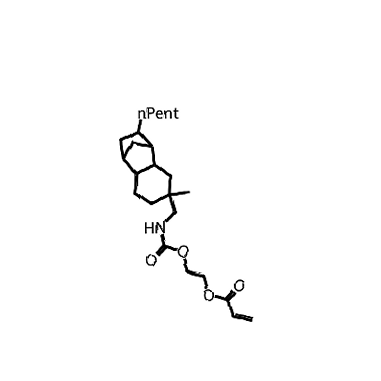 C=CC(=O)OCCOC(=O)NCC1(C)CCC2C3CC(CCCCC)C(C3)C2C1